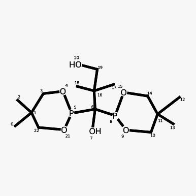 CC1(C)COP(C(O)(P2OCC(C)(C)CO2)C(C)(C)CO)OC1